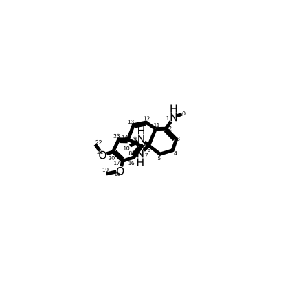 CNC1=CCCC(NC)(NC)C1/C=C\c1ccc(OC)c(OC)c1